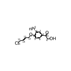 CCCc1cc(C(=O)CO)ccc1OCC=CCCl